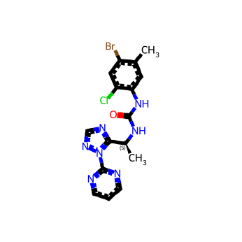 Cc1cc(NC(=O)N[C@@H](C)c2ncnn2-c2ncccn2)c(Cl)cc1Br